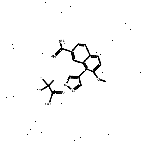 COc1ccc2ccc(C(=N)N)cc2c1-c1cn[nH]c1.O=C(O)C(F)(F)F